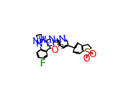 C[C@@H](Oc1cc(-c2ccc3c(c2)CCS3(=O)=O)cnc1N)c1cc(F)ccc1-n1nccn1